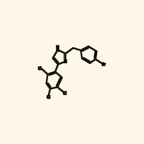 Clc1cc(Cl)c(-c2c[nH]c(Cc3ccc(Br)cc3)n2)cc1Cl